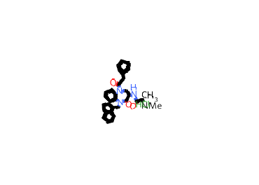 CNC(C)C(=O)NC1CN(C(=O)Cc2ccccc2)c2ccccc2N(Cc2cccc3ccccc23)C1=O.Cl